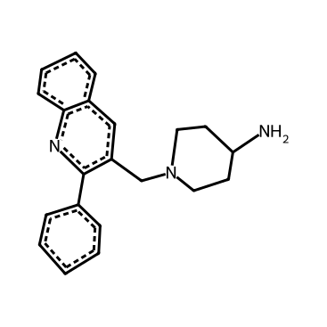 NC1CCN(Cc2cc3ccccc3nc2-c2ccccc2)CC1